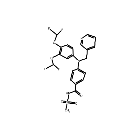 CS(=O)(=O)NC(=O)c1ccc(N(Cc2cccnc2)c2ccc(OC(F)F)c(OC(F)F)c2)cc1